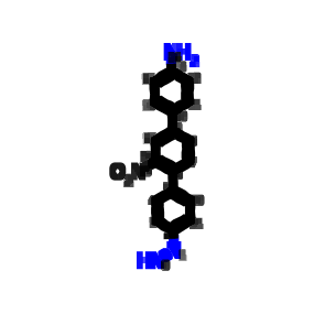 N=Nc1ccc(-c2ccc(-c3ccc(N)cc3)cc2[N+](=O)[O-])cc1